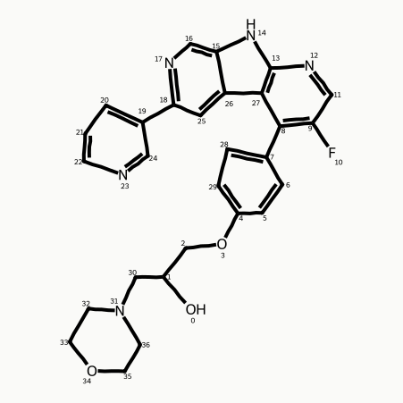 OC(COc1ccc(-c2c(F)cnc3[nH]c4cnc(-c5cccnc5)cc4c23)cc1)CN1CCOCC1